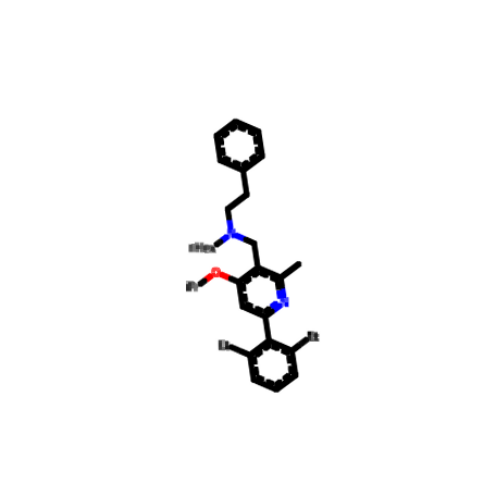 CCCCCCN(CCc1ccccc1)Cc1c(OC(C)C)cc(-c2c(CC)cccc2CC)nc1C